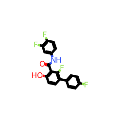 O=C(Nc1ccc(F)c(F)c1)c1c(O)ccc(-c2ccc(F)cc2)c1F